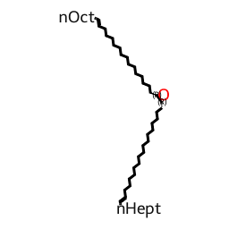 CCCCCCCC=CCCCCCCCCCCCCCCCC[C@H]1O[C@@H]1CCCCCCCCCCCCCCC=CCCCCCCCC